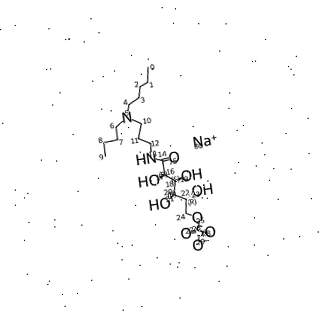 CCCCCN(CCCC)CCCNC(=O)[C@H](O)[C@@H](O)[C@H](O)[C@H](O)COS(=O)(=O)[O-].[Na+]